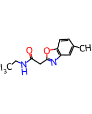 CCNC(=O)Cc1nc2cc(C)ccc2o1